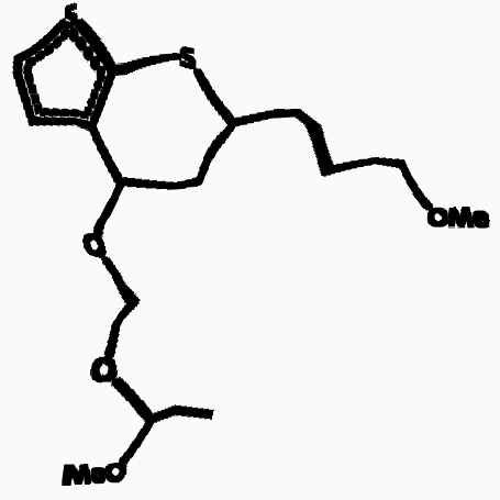 COCCCC1CC(OCOC(C)OC)c2ccsc2S1